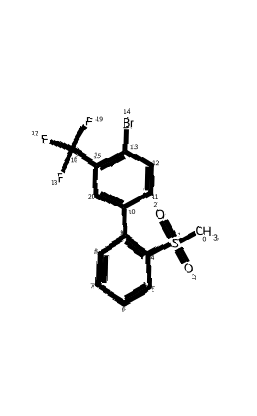 CS(=O)(=O)c1ccc[c]c1-c1ccc(Br)c(C(F)(F)F)c1